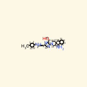 Cc1ccc(NCC#Cc2cnc(N3CCC4(CC3)Cc3ccccc3C4N)c(CO)n2)cc1